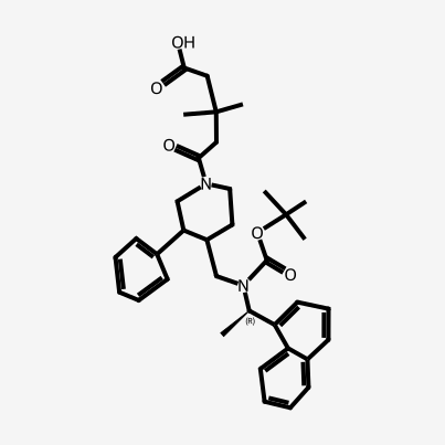 C[C@H](c1cccc2ccccc12)N(CC1CCN(C(=O)CC(C)(C)CC(=O)O)CC1c1ccccc1)C(=O)OC(C)(C)C